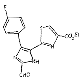 CCOC(=O)c1csc(-c2[nH]c(C=O)nc2-c2ccc(F)cc2)n1